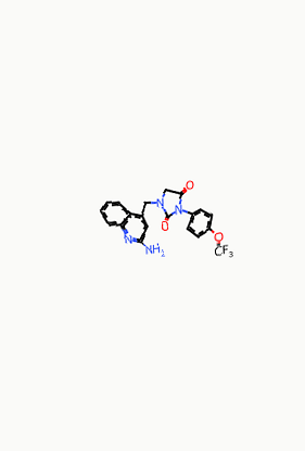 Nc1cc(CN2CC(=O)N(c3ccc(OC(F)(F)F)cc3)C2=O)c2ccccc2n1